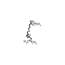 CCOC(=N)CCCSCc1ccc(CN(C)C)o1